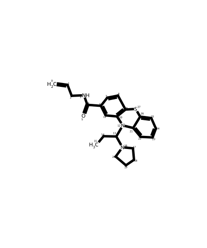 C=CCNC(=O)c1ccc2c(c1)N(C(CC)N1CCCC1)c1ccccc1S2